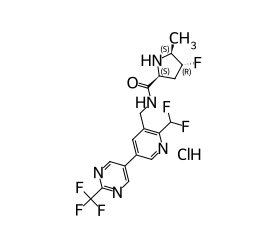 C[C@@H]1N[C@H](C(=O)NCc2cc(-c3cnc(C(F)(F)F)nc3)cnc2C(F)F)C[C@H]1F.Cl